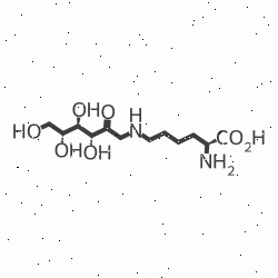 N[C@@H](CCCCNCC(=O)[C@H](O)[C@H](O)[C@H](O)CO)C(=O)O